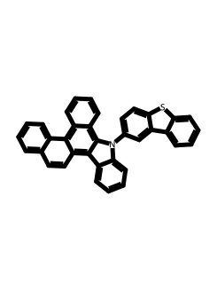 c1ccc2c(c1)ccc1c2c2ccccc2c2c1c1ccccc1n2-c1ccc2sc3ccccc3c2c1